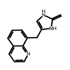 C=C1NC=C(Cc2cccc3cccnc23)N1